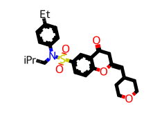 CCc1ccc(N(CC(C)C)S(=O)(=O)c2ccc3c(c2)C(=O)CC(=CC2CCOCC2)O3)cc1